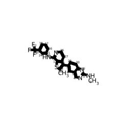 CNc1ncc2cc(-c3c(C)sc4c(Nc5cccc(C(F)(F)F)c5)nccc34)ccc2n1